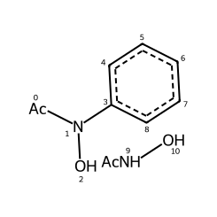 CC(=O)N(O)c1ccccc1.CC(=O)NO